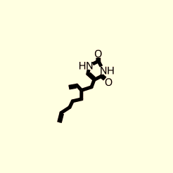 C=CCCCC(C=C)Cc1c[nH]c(=O)[nH]c1=O